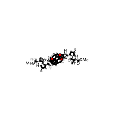 COC(=O)N[C@H](C(=O)N1C[C@H](C)C[C@H]1c1nc2cc(-c3cc4ccc3CCc3ccc(c(-c5ccc6[nH]c([C@@H]7C[C@@H](C)CN7C(=O)[C@@H](NC(O)OC)C(C)C)nc6c5)c3)C[C@H]4C)ccc2[nH]1)C(C)C